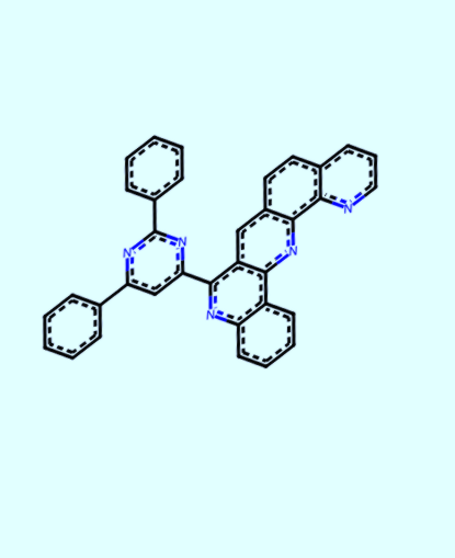 c1ccc(-c2cc(-c3nc4ccccc4c4nc5c(ccc6cccnc65)cc34)nc(-c3ccccc3)n2)cc1